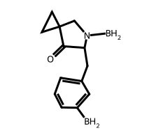 Bc1cccc(CC2C(=O)C3(CC3)CN2B)c1